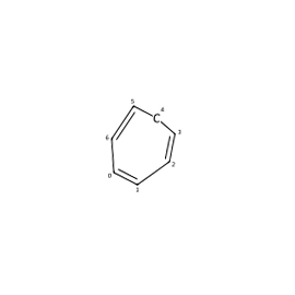 C1=CC=CCC=C1